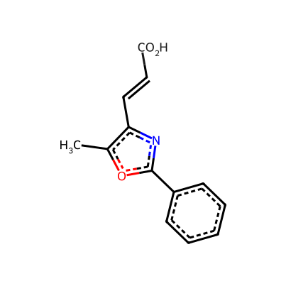 Cc1oc(-c2ccccc2)nc1C=CC(=O)O